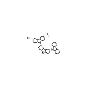 Cc1ccc2c(c1)c1cc(C#N)ccc1n2-c1ccc2sc3ccc(-n4c5ccccc5c5ccccc54)cc3c2c1